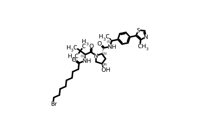 Cc1ncsc1-c1ccc([C@H](C)NC(=O)[C@@H]2C[C@@H](O)CN2C(=O)[C@@H](NC(=O)CCCCCCCCBr)C(C)(C)C)cc1